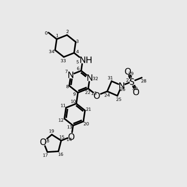 CC1CCC(Nc2ncc(-c3ccc(OC4CCOC4)cc3)c(OC3CN(S(C)(=O)=O)C3)n2)CC1